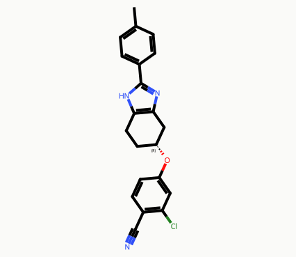 Cc1ccc(-c2nc3c([nH]2)CC[C@@H](Oc2ccc(C#N)c(Cl)c2)C3)cc1